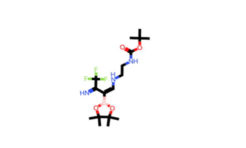 CC(C)(C)OC(=O)NCCN/C=C(/B1OC(C)(C)C(C)(C)O1)C(=N)C(F)(F)F